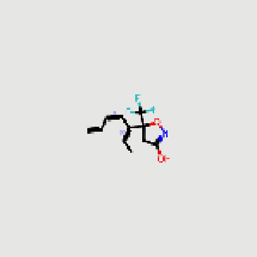 C=C/C=C\C(=C\C)C1(C(F)(F)F)CC(O)=NO1